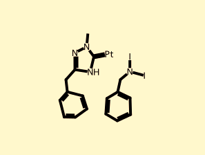 Cn1nc(Cc2ccccc2)[nH][c]1=[Pt].IN(I)Cc1ccccc1